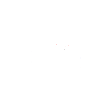 O=c1cc(Cl)n([C@@H]2O[C@H](COP(=O)(O)OP(=O)(O)OP(=O)(O)O)[C@@H](O)[C@H]2O)c(=O)[nH]1